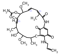 C=CCNC1=C2CC(C)CC(OC)C(O)C(C)/C=C(/C)C(OC(N)=O)C(OC)/C=C\C=C(/C)C(=O)NC(=CC1=O)C2=O